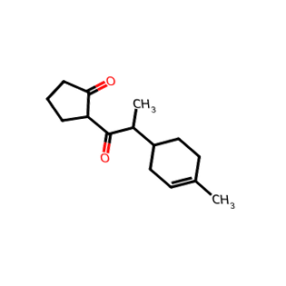 CC1=CCC(C(C)C(=O)C2CCCC2=O)CC1